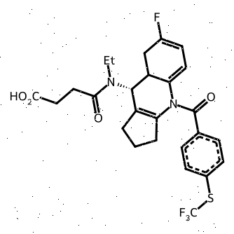 CCN(C(=O)CCC(=O)O)[C@H]1C2=C(CCC2)N(C(=O)c2ccc(SC(F)(F)F)cc2)C2=CC=C(F)CC21